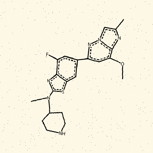 COc1cc(-c2cc(F)c3nc(N(C)C4CCNCC4)sc3c2)nn2cc(C)nc12